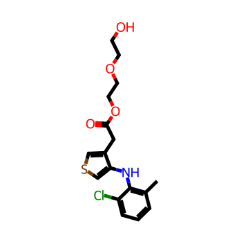 Cc1cccc(Cl)c1Nc1cscc1CC(=O)OCCOCCO